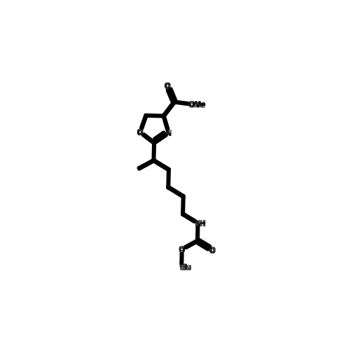 COC(=O)C1COC(C(C)CCCCNC(=O)OC(C)(C)C)=N1